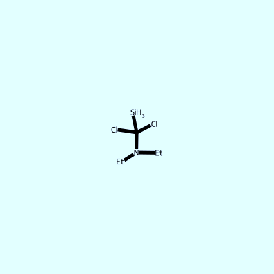 CCN(CC)C([SiH3])(Cl)Cl